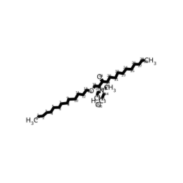 CCCCCCCCCCCCCCOCC(C(=O)CCCCCCCCCCC)[N+](C)(CC)CC.[Cl-]